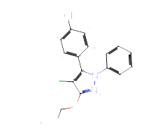 CCOC(=O)COc1nn(-c2ccccc2)c(-c2ccc(C)cc2)c1Cl